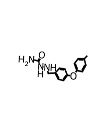 Cc1ccc(Oc2ccc(CNNC(N)=O)cc2)cc1